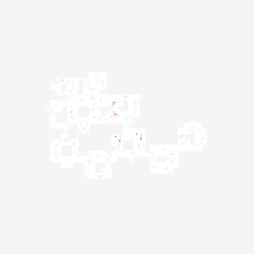 C1=CC2=C(Oc3ccccc3C23c2ccccc2-c2ccccc23)C(c2cccc(-c3cccc(-c4cc(-c5cccc(-c6ccccc6)c5)nc(-c5ccccc5)n4)c3)c2)C1